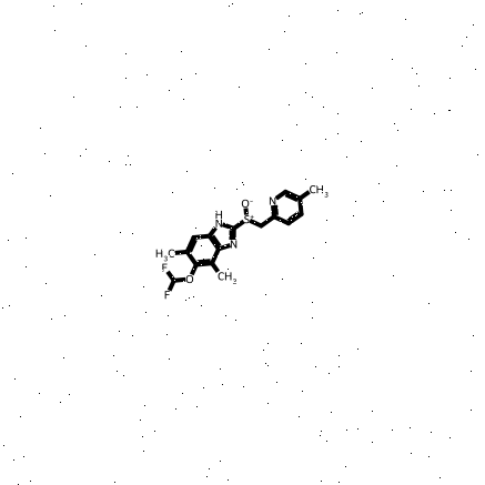 Cc1ccc(C[S+]([O-])c2nc3c(C)c(OC(F)F)c(C)cc3[nH]2)nc1